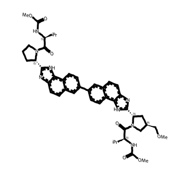 COC[C@@H]1C[C@@H](c2nc3ccc4cc(-c5ccc6c(ccc7nc([C@@H]8CCCN8C(=O)[C@@H](NC(=O)OC)C(C)C)[nH]c76)c5)ccc4c3[nH]2)N(C(=O)[C@@H](NC(=O)OC)C(C)C)C1